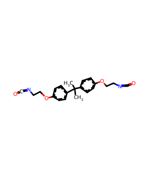 CC(C)(c1ccc(OCCN=C=O)cc1)c1ccc(OCCN=C=O)cc1